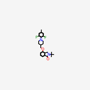 Cc1cc(F)c(N2CCC(COc3cccc4c3CN(C(C)(C)C)C4=O)CC2)c(F)c1